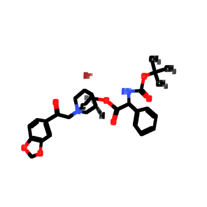 CC(C)(C)OC(=O)NC(C(=O)O[C@H]1C[N+]2(CC(=O)c3ccc4c(c3)OCO4)CCC1CC2)c1ccccc1.[Br-]